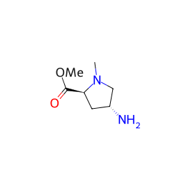 COC(=O)[C@@H]1C[C@@H](N)CN1C